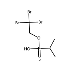 CC(C)P(O)(=S)OCC(Br)(Br)Br